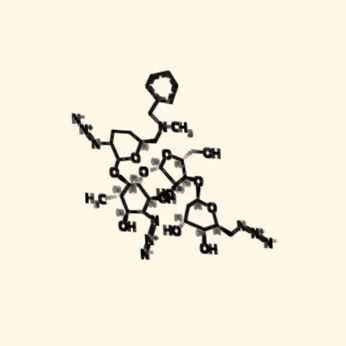 C[C@@H]1[C@@H](OC2O[C@H](CN(C)Cc3ccccc3)CCC2N=[N+]=[N-])[C@H](O[C@@H]2O[C@H](CO)[C@@H](O[C@@H]3C[C@@H](O)[C@H](O)[C@H](CN=[N+]=[N-])O3)[C@H]2O)[C@@H](O)C(N=[N+]=[N-])[C@H]1O